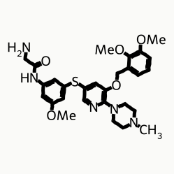 COc1cc(NC(=O)CN)cc(Sc2cnc(N3CCN(C)CC3)c(OCc3cccc(OC)c3OC)c2)c1